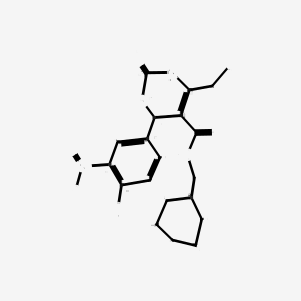 CCC1=C(C(=O)OCC2CCCCC2)C(c2ccc(F)c([N+](=O)[O-])c2)NC(=O)N1